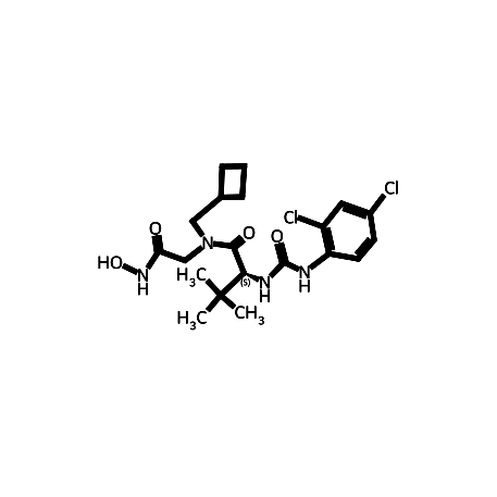 CC(C)(C)[C@H](NC(=O)Nc1ccc(Cl)cc1Cl)C(=O)N(CC(=O)NO)CC1CCC1